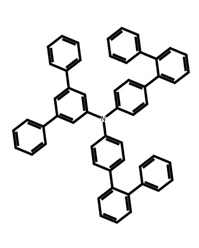 c1ccc(-c2cc(-c3ccccc3)cc(N(c3ccc(-c4ccccc4-c4ccccc4)cc3)c3ccc(-c4ccccc4-c4ccccc4)cc3)c2)cc1